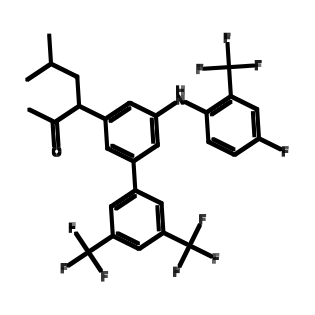 CC(=O)C(CC(C)C)c1cc(Nc2ccc(F)cc2C(F)(F)F)cc(-c2cc(C(F)(F)F)cc(C(F)(F)F)c2)c1